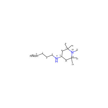 CCCCCCCCCCCCNC1CC(C)(C)N(C)C(C)(C)C1